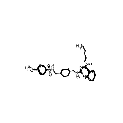 NCCCCNc1nc(NC[C@H]2CC[C@H](CNS(=O)(=O)c3ccc(OC(F)(F)F)cc3)CC2)nc2ccccc12